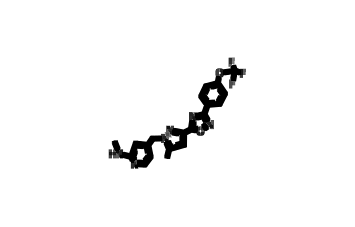 CNc1cc(Cn2nc(-c3nc(-c4ccc(OC(F)(F)F)cc4)no3)cc2C)ccn1